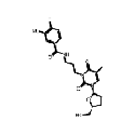 Cc1cn([C@H]2CC[C@@H](CO)O2)c(=O)n(CCCNC(=O)c2ccc(F)c(C#N)c2)c1=O